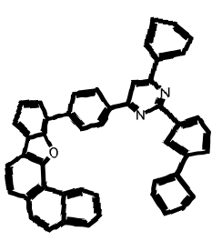 c1ccc(-c2cccc(-c3nc(-c4ccccc4)cc(-c4ccc(-c5cccc6c5oc5c6ccc6ccc7ccccc7c65)cc4)n3)c2)cc1